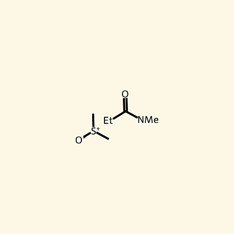 CCC(=O)NC.C[S+](C)[O-]